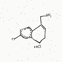 Cl.NCC1=CCCc2cc(Cl)ccc21